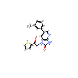 O=C(Cn1c(=O)[nH]c2ncc(-c3cccc(C(F)(F)F)c3)cc21)c1cccs1